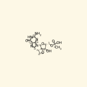 CP(=O)(O)OC[C@H]1O[C@@H](n2cnc3c(=O)[nH]c(N)nc32)[C@@]2(CCO2)[C@@H]1O